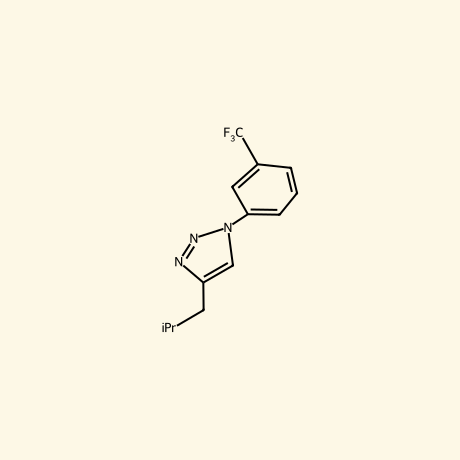 CC(C)Cc1cn(-c2cccc(C(F)(F)F)c2)nn1